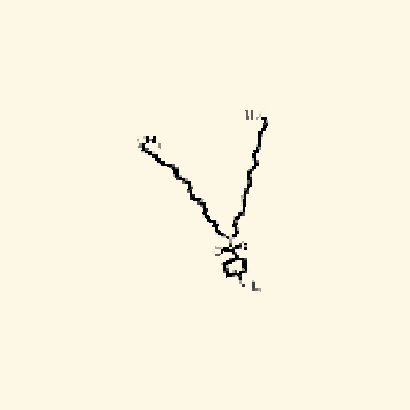 CCCCCCCCCCCCN(CCCCCCCCCCCC)S(=O)(=O)c1ccc(N)cc1